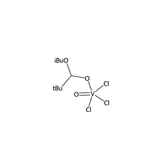 CC(C)COC([O][V](=[O])([Cl])([Cl])[Cl])C(C)(C)C